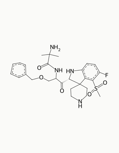 CC(C)(N)C(=O)NC(COCc1ccccc1)C(=O)[C@@H]1Nc2ccc(F)c(S(C)(=O)=O)c2C12CCNCC2